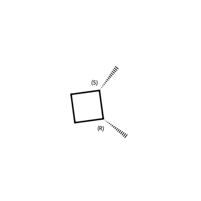 C[C@@H]1CC[C@@H]1C